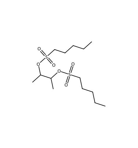 CCCCCS(=O)(=O)OC(C)C(C)OS(=O)(=O)CCCCC